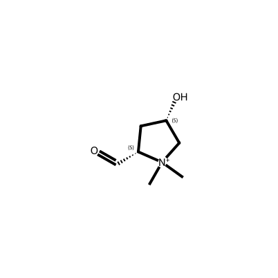 C[N+]1(C)C[C@@H](O)C[C@H]1C=O